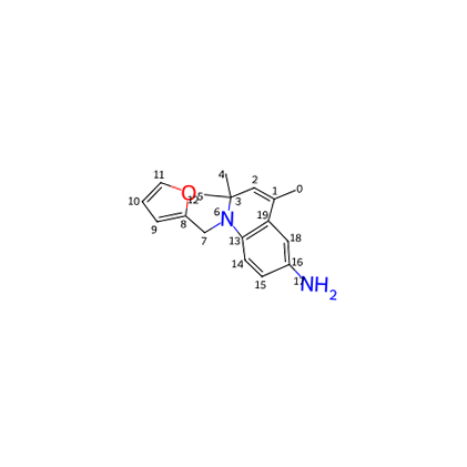 CC1=CC(C)(C)N(Cc2ccco2)c2ccc(N)cc21